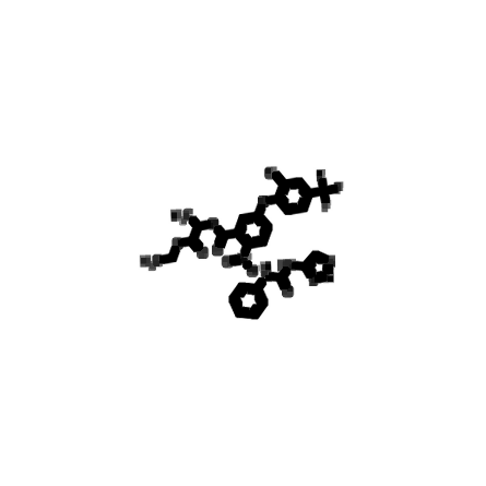 CCOC(=O)C(C)OC(=O)c1cc(Oc2ccc(C(F)(F)F)cc2Cl)ccc1[N+](=O)[O-].O=C(Nc1ccccc1)Nc1cnns1